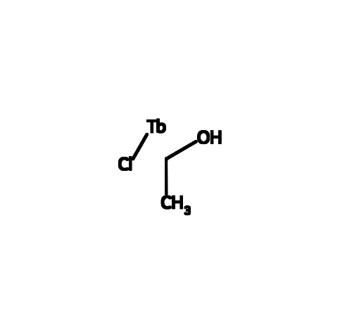 CCO.[Cl][Tb]